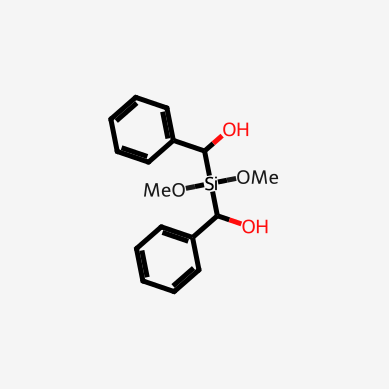 CO[Si](OC)(C(O)c1ccccc1)C(O)c1ccccc1